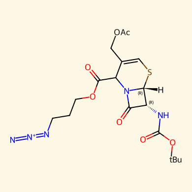 CC(=O)OCC1=CS[C@@H]2[C@H](NC(=O)OC(C)(C)C)C(=O)N2C1C(=O)OCCCN=[N+]=[N-]